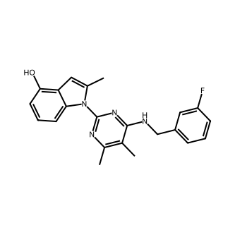 Cc1nc(-n2c(C)cc3c(O)cccc32)nc(NCc2cccc(F)c2)c1C